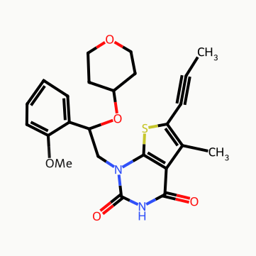 CC#Cc1sc2c(c1C)c(=O)[nH]c(=O)n2CC(OC1CCOCC1)c1ccccc1OC